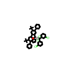 CC(C)(C)c1cc2c(cc1-c1ccccc1)[CH]([Zr]([Cl])([Cl])(=[C](c1cccc(Cl)c1)c1cccc(Cl)c1)[CH]1C=CC=C1)c1cc(-c3ccccc3)c(C(C)(C)C)cc1-2